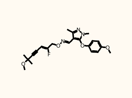 COc1ccc(Oc2c(C=NOCC(F)=CC#CC(C)(C)OC)c(C)nn2C)cc1